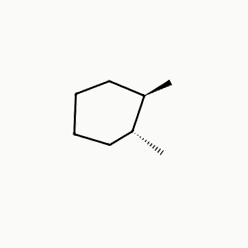 C[C@@H]1CCCC[C@H]1C